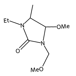 CCN1C(=O)N(COC)C(OC)C1C